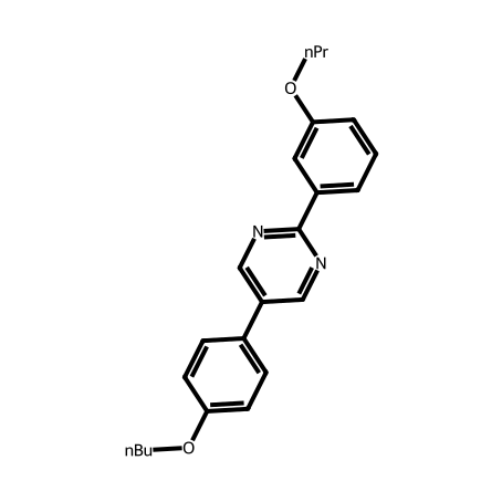 CCCCOc1ccc(-c2cnc(-c3cccc(OCCC)c3)nc2)cc1